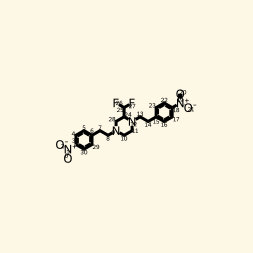 O=[N+]([O-])c1ccc(CCN2CCN(CCc3ccc([N+](=O)[O-])cc3)C(C(F)F)C2)cc1